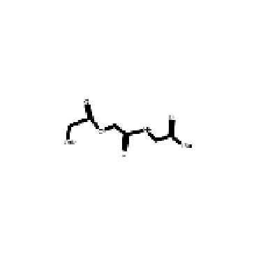 CC(=O)OCC(=O)OCC(=O)NCC(=O)C(C)(C)C